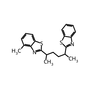 Cc1cccc2sc(C(C)CCC(C)c3nc4ccccc4s3)nc12